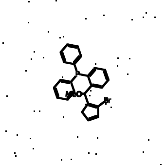 CO[C@H](C1=C(Br)C=CC1)c1ccccc1P(c1ccccc1)c1ccccc1